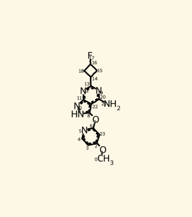 COc1ccnc(Oc2[nH]nc3nc(C4CC(F)C4)nc(N)c23)c1